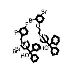 OC(c1ccccc1)(c1ccccc1)C12CC[N+](CCOc3ccc(Br)cc3Br)(CC1)CC2.OC(c1ccccc1)(c1ccccc1)C12CC[N+](Cc3ccc(F)cc3F)(CC1)CC2.[Br-].[Br-]